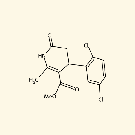 COC(=O)C1=C(C)NC(=O)CC1c1cc(Cl)ccc1Cl